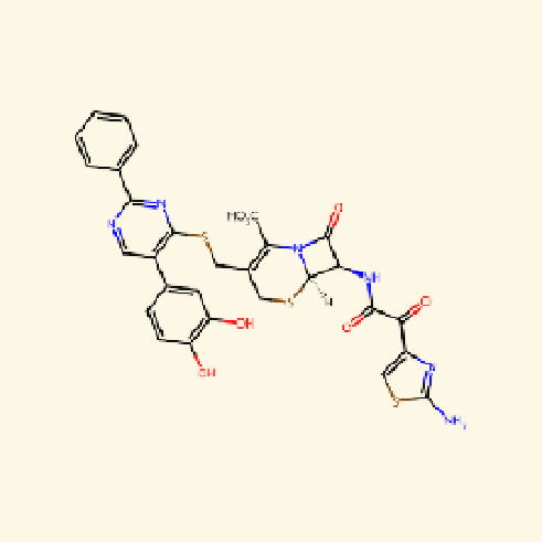 Nc1nc(C(=O)C(=O)N[C@@H]2C(=O)N3C(C(=O)O)=C(CSc4nc(-c5ccccc5)ncc4-c4ccc(O)c(O)c4)CS[C@H]23)cs1